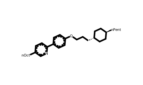 CCCCCCCCc1ccc(-c2ccc(OCCC[C@H]3CC[C@H](CCCCC)CC3)cc2)nc1